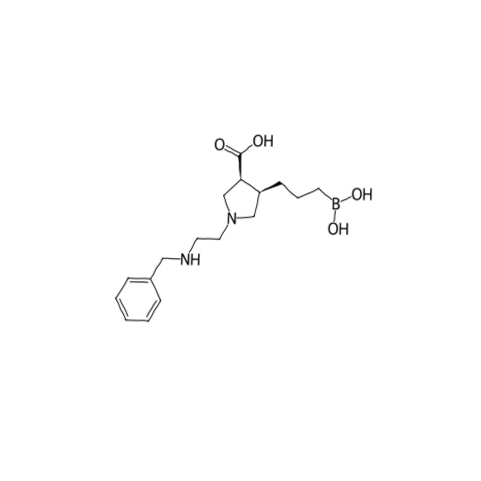 O=C(O)[C@@H]1CN(CCNCc2ccccc2)C[C@@H]1CCCB(O)O